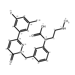 CNCCN(C(=O)O)c1cccc(Cn2nc(-c3cc(F)cc(F)c3)ccc2=O)c1